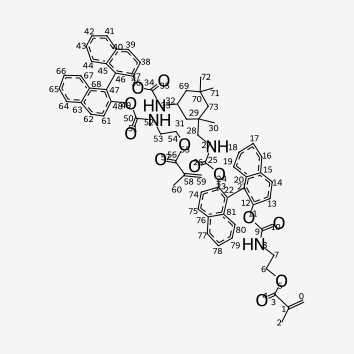 C=C(C)C(=O)OCCNC(=O)Oc1ccc2ccccc2c1-c1c(OC(=O)NCC2(C)CC(NC(=O)Oc3ccc4ccccc4c3-c3c(OC(=O)NCCOC(=O)C(=C)C)ccc4ccccc34)CC(C)(C)C2)ccc2ccccc12